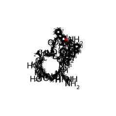 CC(C)=CC[C@@H]1CC(=O)[C@@H](NC(=O)CCC(=O)OCC2c3ccccc3-c3ccccc32)CCCC[C@@H](C(=O)N[C@@H](C)C(=O)C[C@@H](Cc2cc3ccccc3[nH]2)C(=O)N[C@@H](CCCCC(=N)N)C(=O)N[C@@H](CC=C(C)C)C(N)=O)NC(=O)[C@H](CCCNC(=N)N)NC(=O)C2CCCN2C(=O)[C@H](CC(=O)O)NC(=O)[C@H](CO)NC1=O